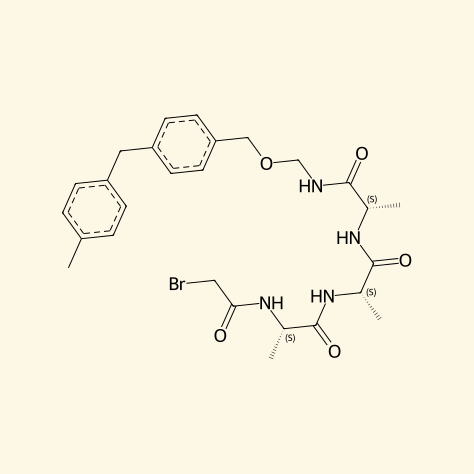 Cc1ccc(Cc2ccc(COCNC(=O)[C@H](C)NC(=O)[C@H](C)NC(=O)[C@H](C)NC(=O)CBr)cc2)cc1